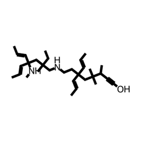 CC=CC(C=CC)(CCNCC(C)(CC)CC(C=CC)(C=CC)NC)CC(C)(C)C(C)C#CO